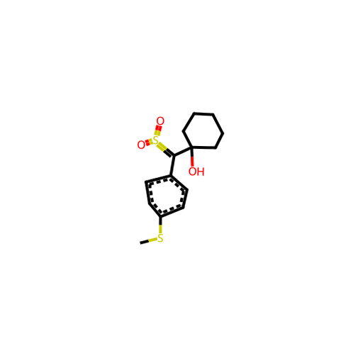 CSc1ccc(C(=S(=O)=O)C2(O)CCCCC2)cc1